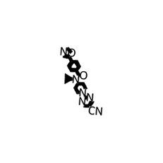 N#Cc1cnc(N2CCC(N(C(=O)c3ccc(-c4cnco4)cc3)C3CC3)CC2)nc1